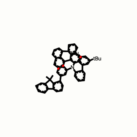 CC(C)(C)c1cc(-c2ccccc2N(c2cccc(-c3cccc4c3C(C)(C)c3ccccc3-4)c2)c2ccccc2-c2cccc3cccc(-c4ccccc4)c23)cc(C(C)(C)C)c1